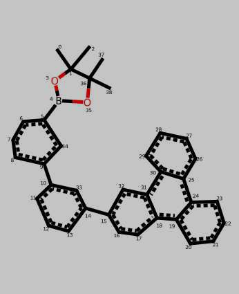 CC1(C)OB(c2cccc(-c3cccc(-c4ccc5c6ccccc6c6ccccc6c5c4)c3)c2)OC1(C)C